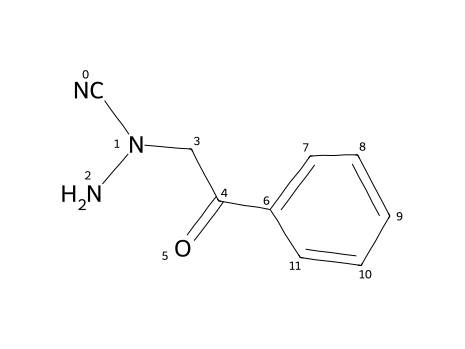 N#CN(N)CC(=O)c1ccccc1